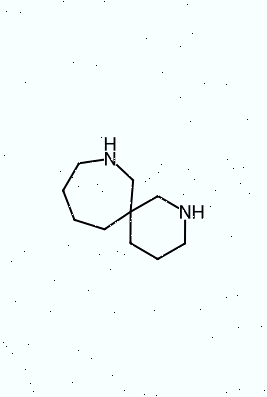 C1CCC2(CCCNC2)CNC1